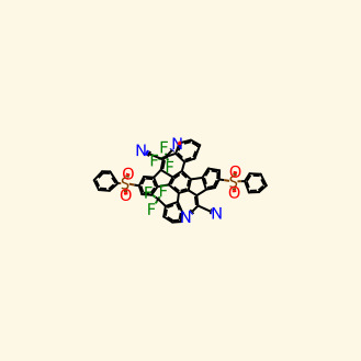 N#CC(C#N)=C1c2cc(S(=O)(=O)c3ccccc3)ccc2-c2c1c(-c1ccccc1C(F)(F)F)c1c(c2-c2ccccc2C(F)(F)F)C(=C(C#N)C#N)c2cc(S(=O)(=O)c3ccccc3)ccc2-1